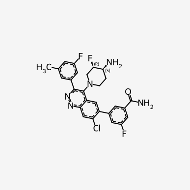 Cc1cc(F)cc(-c2nnc3cc(Cl)c(-c4cc(F)cc(C(N)=O)c4)cc3c2N2CC[C@H](N)[C@H](F)C2)c1